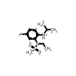 CCN(c1cc(F)ccc1NC(C)C)S(C)(=O)=O